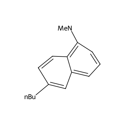 CCCCc1ccc2c(NC)cccc2c1